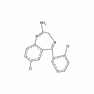 NC1=Nc2ccc(Cl)cc2C(c2ccccc2Cl)=NC1